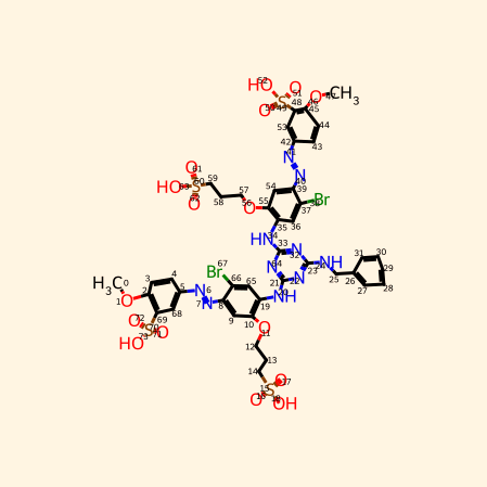 COc1ccc(N=Nc2cc(OCCCS(=O)(=O)O)c(Nc3nc(NCc4ccccc4)nc(Nc4cc(Br)c(N=Nc5ccc(OC)c(S(=O)(=O)O)c5)cc4OCCCS(=O)(=O)O)n3)cc2Br)cc1S(=O)(=O)O